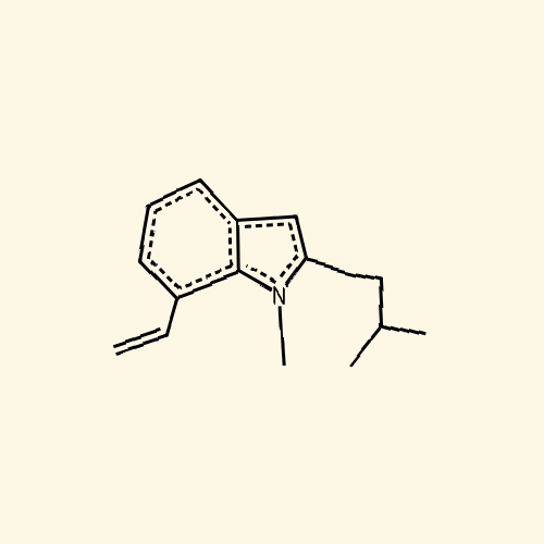 C=Cc1cccc2cc(CC(C)C)n(C)c12